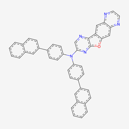 c1ccc2cc(-c3ccc(N(c4ccc(-c5ccc6ccccc6c5)cc4)c4cnc5c(n4)oc4cc6nccnc6cc45)cc3)ccc2c1